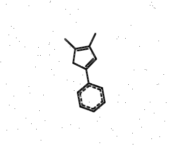 CC1=C(C)CC(c2ccccc2)=C1